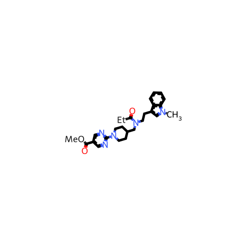 CCC(=O)N(CCc1cn(C)c2ccccc12)CC1CCN(c2ncc(C(=O)OC)cn2)CC1